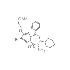 COCCOc1cc2c(cc1Br)S(=O)(=O)N(C)C(C1CCCCC1)CN2c1ccccc1